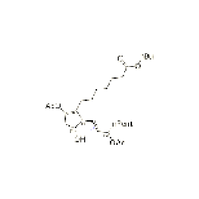 CCCCC[C@@H](/C=C/[C@@H]1C(CCCCCCC(=O)OCCCC)=C(OC(C)=O)C[C@H]1O)OC(C)=O